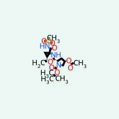 C=C[C@@H]1CC1(NC(=O)[C@@H]1C[C@@H](OC(C)=O)CN1C(=O)OC(C)(C)C)C(=O)NS(C)(=O)=O